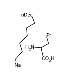 CC(C)CC(N)C(=O)O.CCCCCCCCCCCCCCC[CH2][Na]